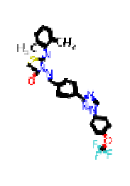 Cc1cccc(C)c1/N=C1\SCC(=O)N1/N=C/c1ccc(-c2ncn(-c3ccc(OC(F)(F)F)cc3)n2)cc1